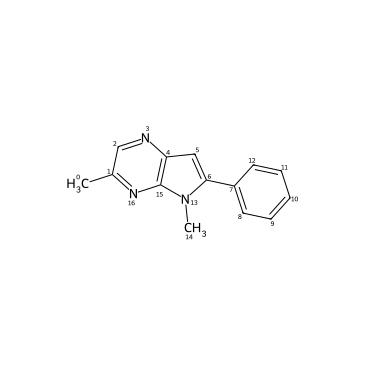 Cc1cnc2cc(-c3ccccc3)n(C)c2n1